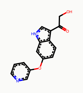 O=C(CO)c1c[nH]c2cc(Oc3cccnc3)ccc12